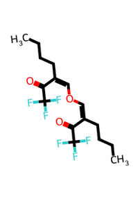 CCCCC(=COC=C(CCCC)C(=O)C(F)(F)F)C(=O)C(F)(F)F